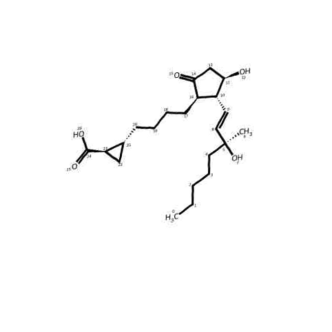 CCCCC[C@](C)(O)C=C[C@H]1[C@H](O)CC(=O)[C@@H]1CCCC[C@@H]1C[C@H]1C(=O)O